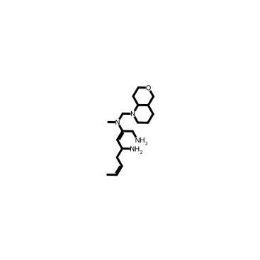 C/C=C\CC(N)C=C(CN)N(C)CN1CCCC2COCCC21